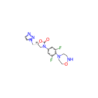 O=C1O[C@@H](Cn2ccnn2)CN1c1cc(F)c(N2CCNOCC2)c(F)c1